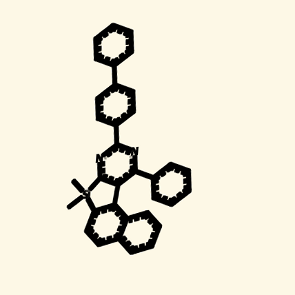 C[Si]1(C)c2ccc3ccccc3c2-c2c(-c3ccccc3)nc(-c3ccc(-c4ccccc4)cc3)nc21